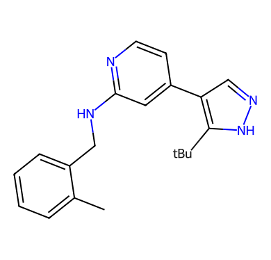 Cc1ccccc1CNc1cc(-c2cn[nH]c2C(C)(C)C)ccn1